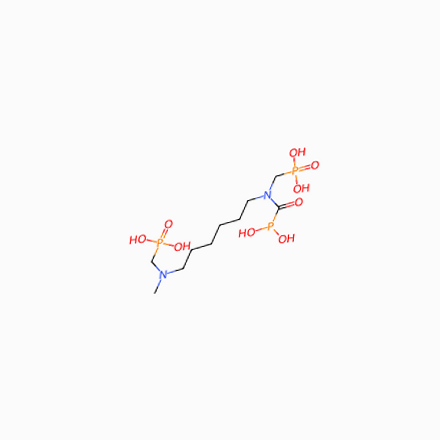 CN(CCCCCCN(CP(=O)(O)O)C(=O)P(O)O)CP(=O)(O)O